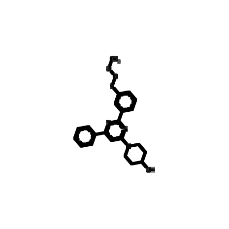 COOSc1cccc(-c2nc(-c3ccccc3)cc(N3CCC(O)CC3)n2)c1